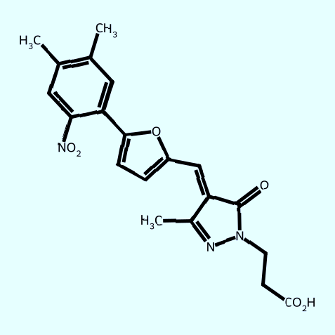 CC1=NN(CCC(=O)O)C(=O)C1=Cc1ccc(-c2cc(C)c(C)cc2[N+](=O)[O-])o1